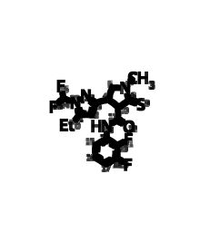 CCc1cc(C2CN(C)C(=S)C2C(=O)Nc2cccc(F)c2F)nn1C(F)F